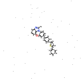 Cc1nc2cccc3c2n1-c1ccc(-c2ccc(-c4ccc(-c5ccccc5)s4)cc2)cc1O3